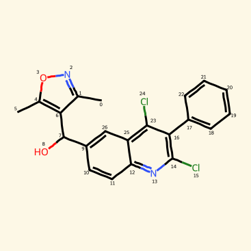 Cc1noc(C)c1C(O)c1ccc2nc(Cl)c(-c3ccccc3)c(Cl)c2c1